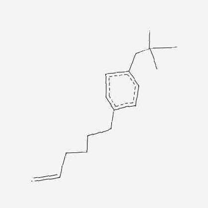 [CH]=CCCCCc1ccc(CC(C)(C)C)cc1